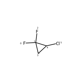 FC1(F)[CH]C1Cl